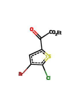 CCOC(=O)C(=O)c1cc(Br)c(Cl)s1